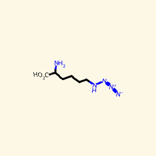 [N-]=[N+]=NNCCCCC(N)C(=O)O